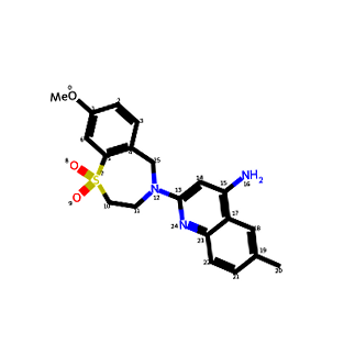 COc1ccc2c(c1)S(=O)(=O)CCN(c1cc(N)c3cc(C)ccc3n1)C2